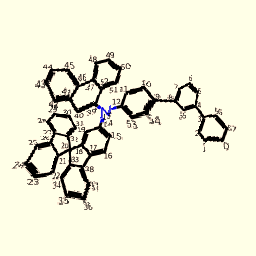 c1ccc(-c2cccc(-c3ccc(N(c4ccc5c(c4)C4(c6ccccc6-c6ccccc64)c4ccccc4-5)c4cc5ccccc5c5ccccc45)cc3)c2)cc1